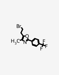 Cc1nc(-c2ccc(C(F)(F)F)cc2)oc1CCBr